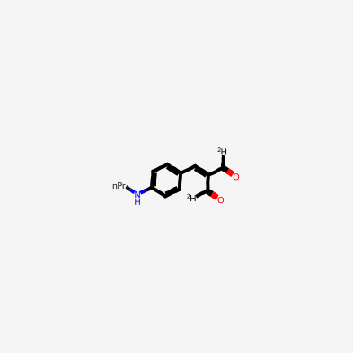 [2H]C(=O)C(=Cc1ccc(NCCC)cc1)C([2H])=O